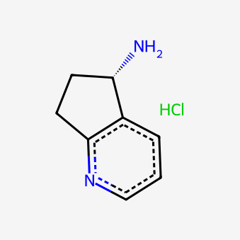 Cl.N[C@H]1CCc2ncccc21